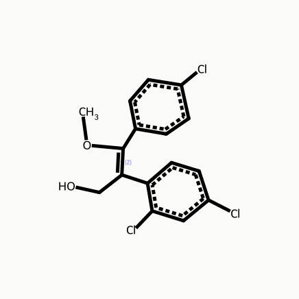 CO/C(=C(\CO)c1ccc(Cl)cc1Cl)c1ccc(Cl)cc1